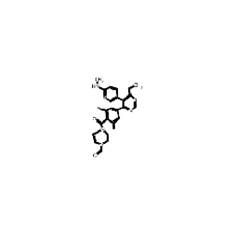 CCc1ncnc(-c2cc(F)c(C(=O)N3CCN(C=O)CC3)c(F)c2)c1-c1ccc(NC)nc1